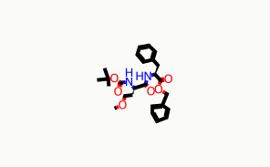 COCC[C@H](NC(=O)OC(C)(C)C)C(=O)N[C@@H](Cc1ccccc1)C(=O)OCc1ccccc1